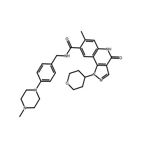 Cc1cc2[nH]c(=O)c3cnn(C4CCOCC4)c3c2cc1C(=O)NCc1ccc(N2CCN(C)CC2)cc1